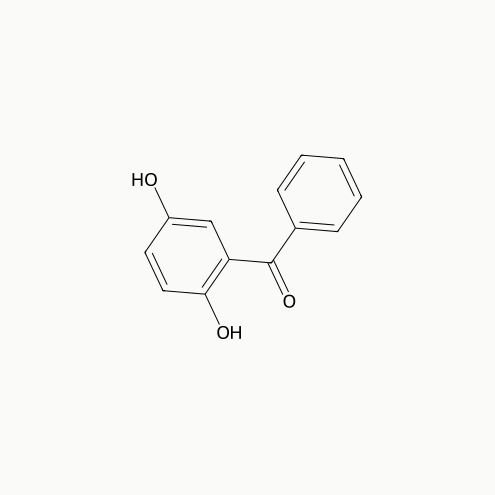 O=C(c1ccccc1)c1cc(O)ccc1O